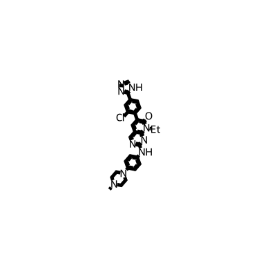 CCn1c(=O)c(-c2ccc(-c3nnc[nH]3)cc2Cl)cc2cnc(Nc3ccc(N4CCN(C)CC4)cc3)nc21